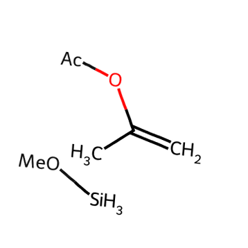 C=C(C)OC(C)=O.CO[SiH3]